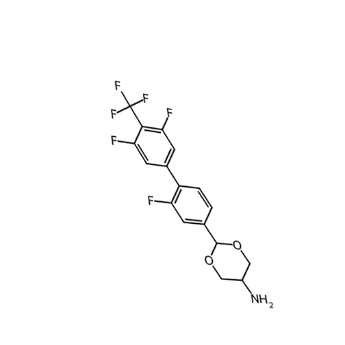 NC1COC(c2ccc(-c3cc(F)c(C(F)(F)F)c(F)c3)c(F)c2)OC1